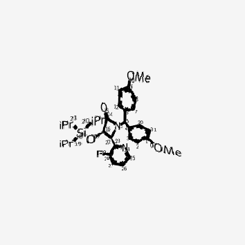 COc1ccc(C(c2ccc(OC)cc2)N2C(=O)[C@H](O[Si](C(C)C)(C(C)C)C(C)C)[C@@H]2c2ncccc2F)cc1